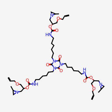 C=CCOCC(CN1CC1C)OC(=O)NCCCCCCn1c(=O)n(CCCCCCNC(=O)OC(COCC=C)CN2CC2C)c(=O)n(CCCCCCNC(=O)OC(COCC=C)CN2CC2C)c1=O